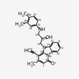 C#Cc1c(C)cc(=O)n2c3ccccc3n(CC(O)CNc3ccc(C)c(C)c3)c12